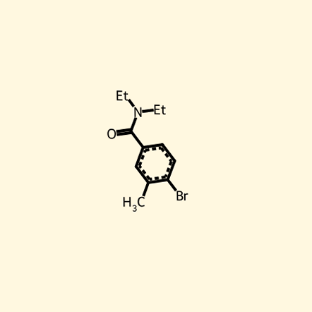 CCN(CC)C(=O)c1ccc(Br)c(C)c1